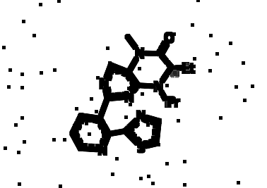 CC[C@@H]1C(=O)N(C)c2cnc(-c3cccnc3-c3nccs3)nc2N1C(C)C